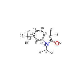 CC(C)N1C(=O)C(C)(C)c2ccc(C(C)(C)C)cc21